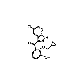 O=C(c1cccc(O)c1OCC1CC1)c1c[nH]c2ncc(Cl)cc12